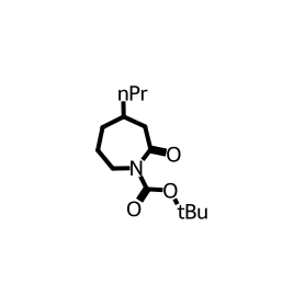 CCCC1CCCN(C(=O)OC(C)(C)C)C(=O)C1